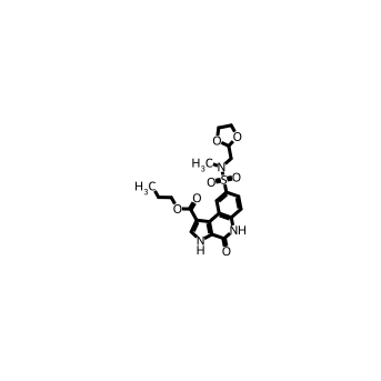 CCCOC(=O)c1c[nH]c2c(=O)[nH]c3ccc(S(=O)(=O)N(C)CC4OCCO4)cc3c12